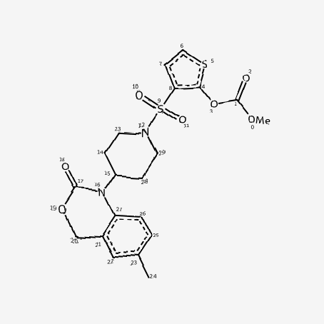 COC(=O)Oc1sccc1S(=O)(=O)N1CCC(N2C(=O)OCc3cc(C)ccc32)CC1